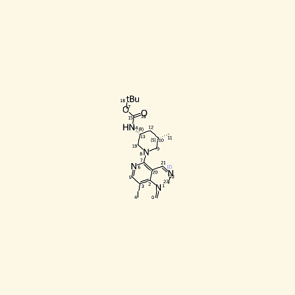 C=Nc1c(I)cnc(N2C[C@@H](C)C[C@@H](NC(=O)OC(C)(C)C)C2)c1/C=N\C